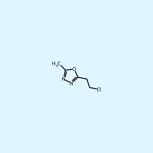 Cc1nnc(CCCl)o1